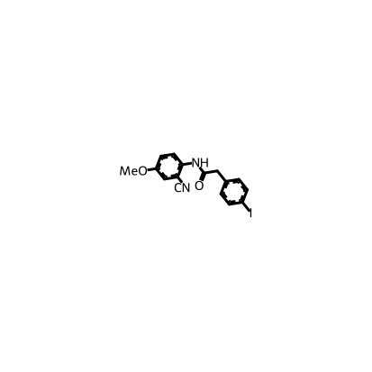 COc1ccc(NC(=O)Cc2ccc(I)cc2)c(C#N)c1